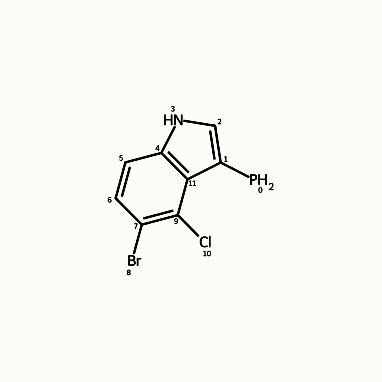 Pc1c[nH]c2ccc(Br)c(Cl)c12